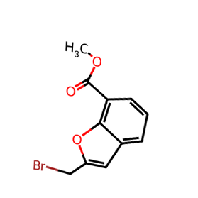 COC(=O)c1cccc2cc(CBr)oc12